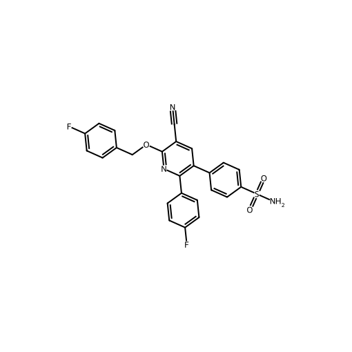 N#Cc1cc(-c2ccc(S(N)(=O)=O)cc2)c(-c2ccc(F)cc2)nc1OCc1ccc(F)cc1